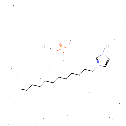 CCCCCCCCCCCC[n+]1ccn(C)c1.COP(=O)([O-])OC